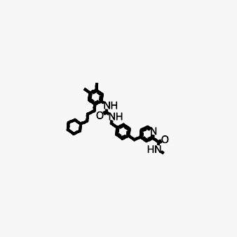 CNC(=O)c1cc(Cc2ccc(CNC(=O)Nc3cc(C)c(C)cc3CCCC3CCCCC3)cc2)ccn1